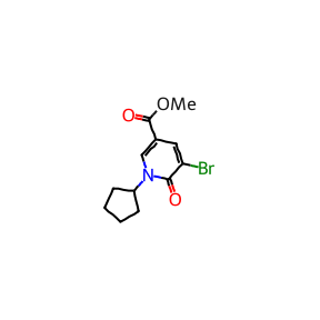 COC(=O)c1cc(Br)c(=O)n(C2CCCC2)c1